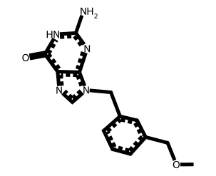 COCc1cccc(Cn2cnc3c(=O)[nH]c(N)nc32)c1